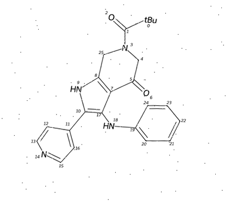 CC(C)(C)C(=O)N1CC(=O)c2c([nH]c(-c3ccncc3)c2Nc2ccccc2)C1